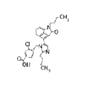 CCCCc1ncc(C2=C3C(=O)N(CCCC)c4cccc2c43)n1Cc1ccc(C(=O)O)cc1Cl